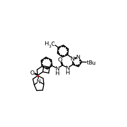 Cc1ccc(-n2nc(C(C)(C)C)cc2NC(=O)Nc2cccc(CC3CC4CCC(C3)N4C(=O)C3CCC3)c2)cc1